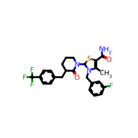 CC1=C(C(N)=O)SC(N2CCCC(Cc3ccc(C(F)(F)F)cc3)C2=O)N1Cc1cccc(F)c1